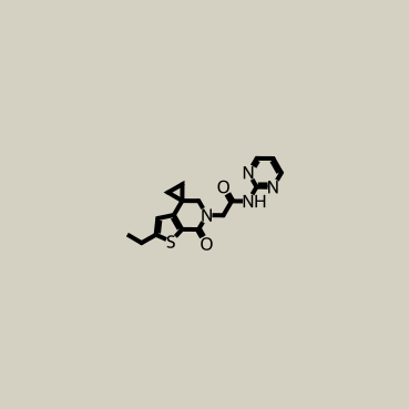 CCc1cc2c(s1)C(=O)N(CC(=O)Nc1ncccn1)CC21CC1